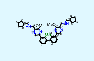 COc1nc(-c2cccc(-c3cccc(-c4cnc(CNCC5CCCC5)c(OC)n4)c3Cl)c2Cl)cnc1CNCC1CCCC1